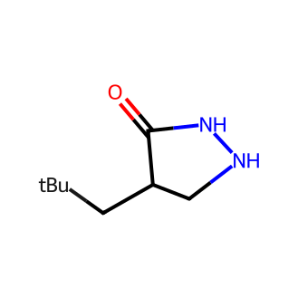 CC(C)(C)CC1CNNC1=O